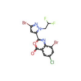 O=c1oc(-c2cc(Br)nn2CC(F)F)nc2c(Br)cc(Cl)cc12